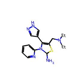 CCN(CC)CC1=C(c2cn[nH]c2)N(c2ccccn2)C(N)S1